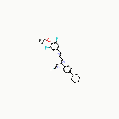 F/C=C/C(=C\C=C\c1cc(F)c(OC(F)(F)F)c(F)c1)c1ccc(C2CCCCC2)cc1